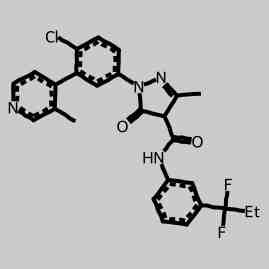 CCC(F)(F)c1cccc(NC(=O)C2C(=O)N(c3ccc(Cl)c(-c4ccncc4C)c3)N=C2C)c1